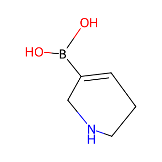 OB(O)C1=CCCNC1